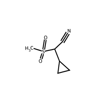 CS(=O)(=O)C(C#N)C1CC1